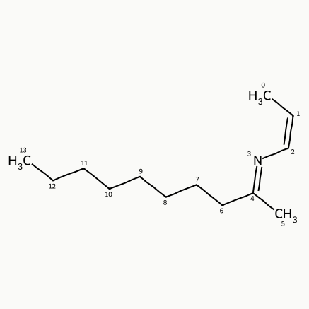 C/C=C\N=C(/C)CCCCCCCC